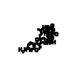 CC(C)CC[C@]1(COP(=O)(O)OP(=O)(O)OP(=O)(O)O)O[C@@H](n2ccc(N)nc2=O)[C@H](F)[C@@H]1O